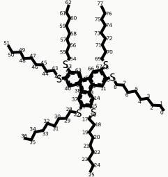 CCCCCCCCCSc1cc2c3cc(SCCCCCCCCC)c(SCCCCCCCCC)cc3c3cc(SCCCCCCCCC)c(SCCCCCCCCC)cc3c2cc1SCCCCCCCCC